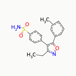 CCc1noc(-c2cccc(C)c2)c1-c1ccc(S(N)(=O)=O)cc1